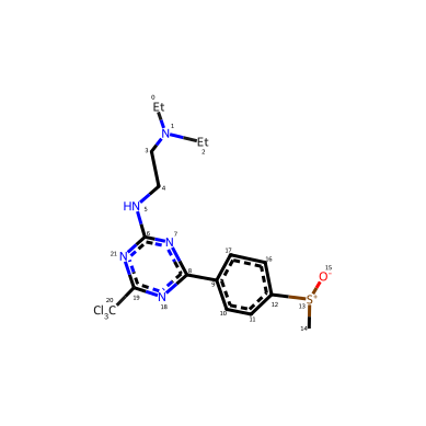 CCN(CC)CCNc1nc(-c2ccc([S+](C)[O-])cc2)nc(C(Cl)(Cl)Cl)n1